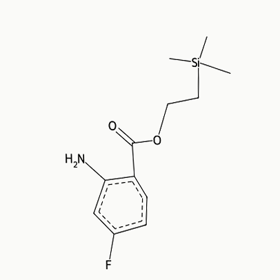 C[Si](C)(C)CCOC(=O)c1ccc(F)cc1N